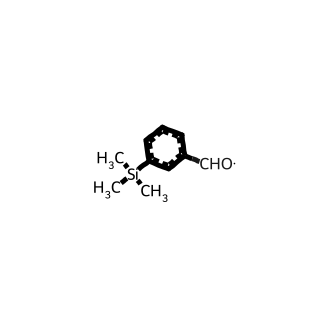 C[Si](C)(C)c1cccc([C]=O)c1